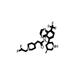 C[C@@H]1CNC[C@](NC(=O)CC2CCN(CC(F)F)CC2)(c2ccc(C(F)(F)F)c3nccnc23)C1